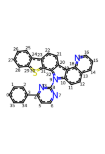 c1ccc(-c2ccnc(-n3c4ccc5cccnc5c4c4ccc5c6ccccc6sc5c43)n2)cc1